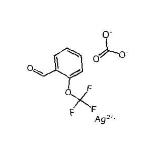 O=C([O-])[O-].O=Cc1ccccc1OC(F)(F)F.[Ag+2]